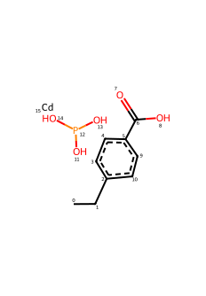 CCc1ccc(C(=O)O)cc1.OP(O)O.[Cd]